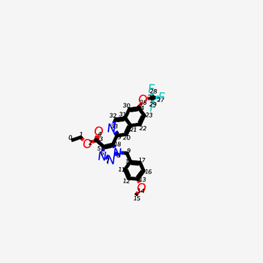 CCOC(=O)c1nnn(Cc2ccc(OC)cc2)c1-c1cc2ccc(OC(F)(F)F)cc2cn1